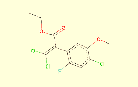 CCOC(=O)C(=C(Cl)Cl)c1cc(OC)c(Cl)cc1F